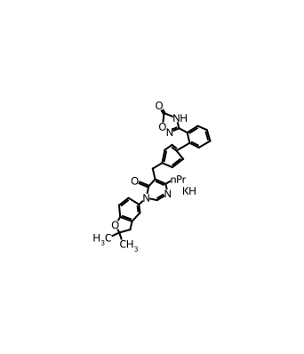 CCCc1ncn(-c2ccc3c(c2)CC(C)(C)O3)c(=O)c1Cc1ccc(-c2ccccc2-c2noc(=O)[nH]2)cc1.[KH]